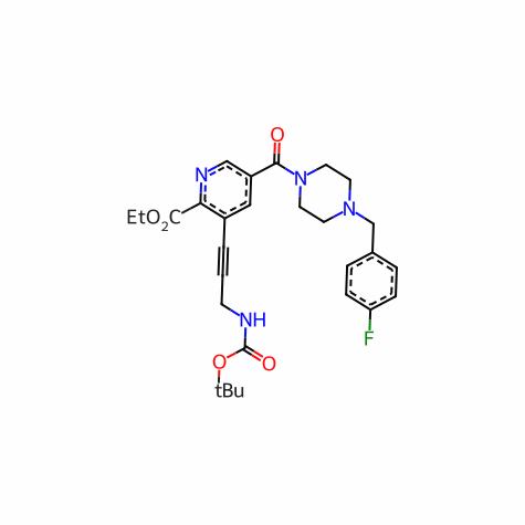 CCOC(=O)c1ncc(C(=O)N2CCN(Cc3ccc(F)cc3)CC2)cc1C#CCNC(=O)OC(C)(C)C